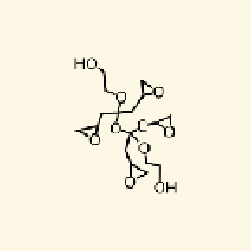 OCCOC(CC1CO1)(CC1CO1)OC(CC1CO1)(CC1CO1)OCCO